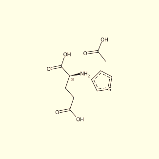 CC(=O)O.N[C@@H](CCC(=O)O)C(=O)O.c1ccsc1